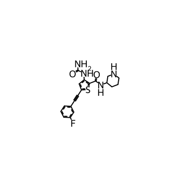 NC(=O)Nc1cc(C#Cc2cccc(F)c2)sc1C(=O)NC1CCCNC1